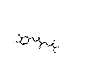 CC(O)C(=O)OCC(=O)NCCc1ccc(O)c(O)c1